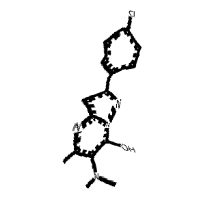 Cc1nc2cc(-c3ccc(Cl)cc3)nn2c(O)c1N(C)C